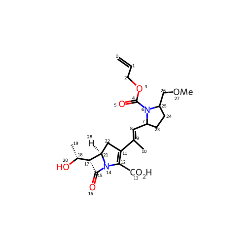 C=CCOC(=O)N1C(C=C(C)C2=C(C(=O)O)N3C(=O)[C@H]([C@@H](C)O)[C@H]3C2)CCC1COC